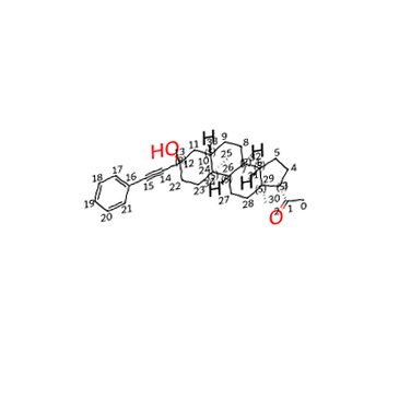 CC(=O)[C@H]1CC[C@H]2[C@@H]3CC[C@H]4C[C@@](O)(C#Cc5ccccc5)CC[C@]4(C)[C@H]3CC[C@]12C